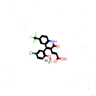 COc1ccc(Cl)cc1-c1c(/C=C/C(=O)O)c(=O)[nH]c2ccc(C(F)(F)F)cc12